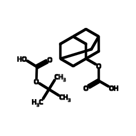 CC(C)(C)OC(=O)O.O=C(O)OC12CC3CC(CC(C3)C1)C2